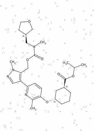 Cc1nc(-c2cnn(C)c2COC(=O)N(C)C[C@H]2CCOC2)ccc1O[C@H]1CCC[C@H](C(=O)OC(C)C)C1